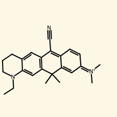 CCN1CCCc2cc3c(cc21)C(C)(C)C1=CC(=[N+](C)C)C=CC1=C3C#N